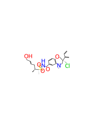 C=CC(=C)[C@]1(CCl)COc2ccc(C(=O)NS(=O)(=O)[C@H](C)[C@@H](C)C/C=C/CO)cc2N(C)C1